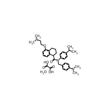 CC(C)c1ccc(N(Cc2ccc(N(C)C)cc2)C(=O)C2CCCc3c(OCCN(C)C)cccc32)cc1.O.O=C(O)C(=O)O